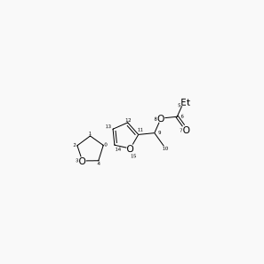 C1CCOC1.CCC(=O)OC(C)c1ccco1